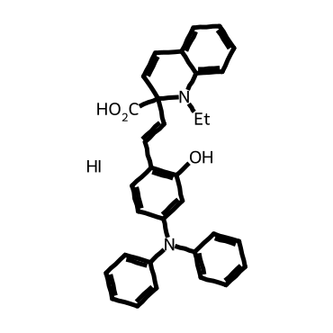 CCN1c2ccccc2C=CC1(C=Cc1ccc(N(c2ccccc2)c2ccccc2)cc1O)C(=O)O.I